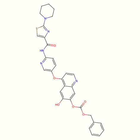 O=C(OCc1ccccc1)Oc1cc2nccc(Oc3ccc(NC(=O)c4csc(N5CCCCC5)n4)nc3)c2cc1O